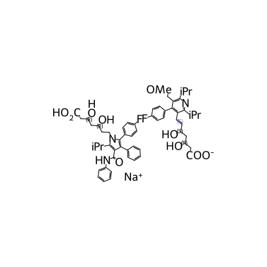 CC(C)c1c(C(=O)Nc2ccccc2)c(-c2ccccc2)c(-c2ccc(F)cc2)n1CC[C@@H](O)C[C@@H](O)CC(=O)O.COCc1c(C(C)C)nc(C(C)C)c(/C=C/[C@@H](O)C[C@@H](O)CC(=O)[O-])c1-c1ccc(F)cc1.[Na+]